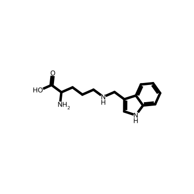 NC(CCCNCc1c[nH]c2ccccc12)C(=O)O